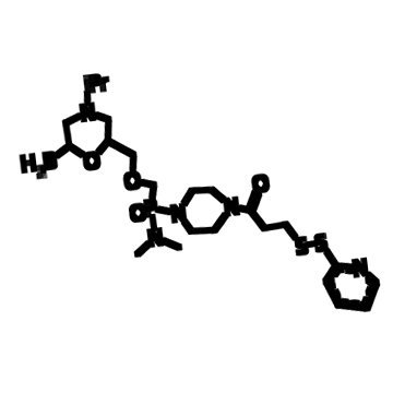 BC1CN(C(C)C)CC(COCP(=O)(N(C)C)N2CCN(C(=O)CCSSc3ccccn3)CC2)O1